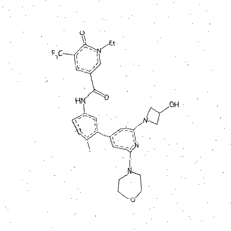 CCn1cc(C(=O)Nc2ccc(C)c(-c3cc(N4CCOCC4)nc(N4CC(O)C4)c3)c2)cc(C(F)(F)F)c1=O